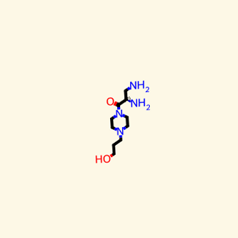 NC[C@@H](N)C(=O)N1CCN(CCCO)CC1